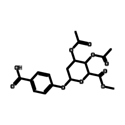 COC(=O)C1OC(Oc2ccc(C(=O)O)cc2)CC(OC(C)=O)C1OC(C)=O